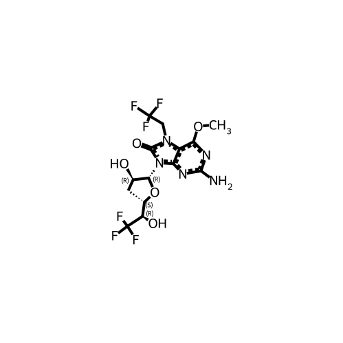 COc1nc(N)nc2c1n(CC(F)(F)F)c(=O)n2[C@@H]1O[C@H]([C@@H](O)C(F)(F)F)C[C@H]1O